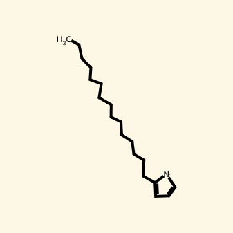 CCCCCCCCCCCCCCCC1=CC=C[N]1